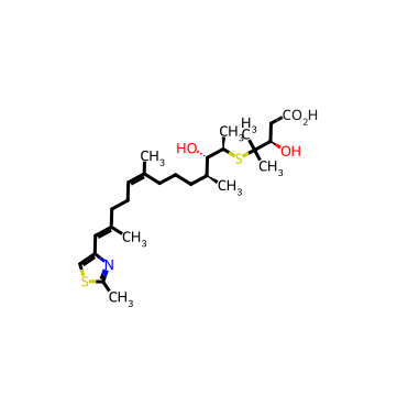 C/C(=C/CC/C(C)=C/c1csc(C)n1)CCC[C@H](C)[C@H](O)[C@@H](C)SC(C)(C)[C@H](O)CC(=O)O